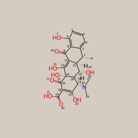 C[C@H]1c2cccc(O)c2C(=O)C2=C(O)[C@]3(O)C(=O)C(C(=O)O)=C(O)[C@@H](N(C)C)[C@@H]3[C@@H](O)[C@@H]21